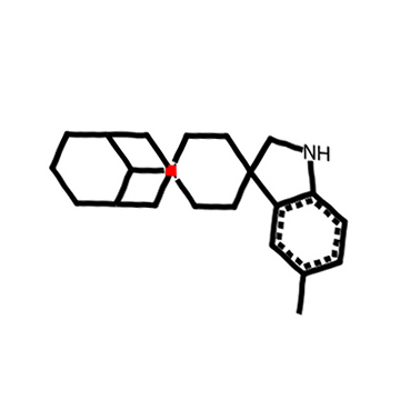 Cc1ccc2c(c1)C1(CCN(C3C4CCCC3CCC4)CC1)CN2